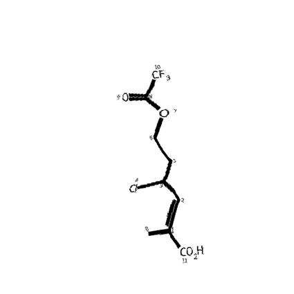 CC(=CC(Cl)CCOC(=O)C(F)(F)F)C(=O)O